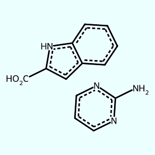 Nc1ncccn1.O=C(O)c1cc2ccccc2[nH]1